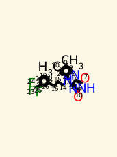 Cc1cc2nc3c(=O)[nH]c(=O)nc-3n(CCCc3cccc(C(F)(F)F)c3)c2cc1C